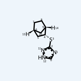 c1nc(S[C@@H]2C[C@@H]3CC[C@H]2C3)n[nH]1